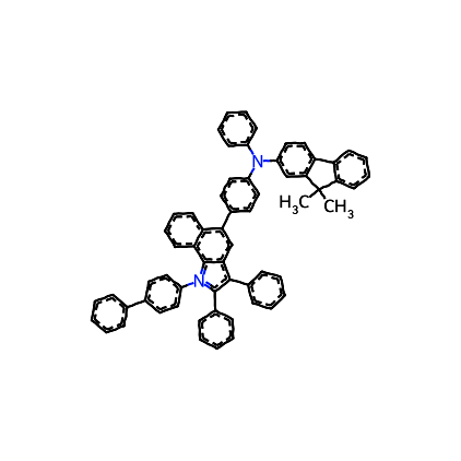 CC1(C)c2ccccc2-c2ccc(N(c3ccccc3)c3ccc(-c4cc5c(-c6ccccc6)c(-c6ccccc6)n(-c6ccc(-c7ccccc7)cc6)c5c5ccccc45)cc3)cc21